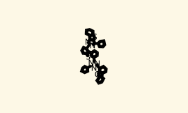 c1ccc(-c2nc(-c3cccc4c3oc3ccccc34)nc(-c3cccc4c3sc3cccc(-c5nc(-c6ccccc6)c6sc7ccccc7c6n5)c34)n2)cc1